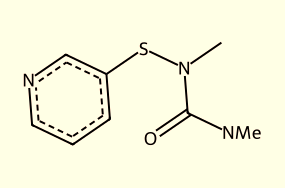 CNC(=O)N(C)Sc1cccnc1